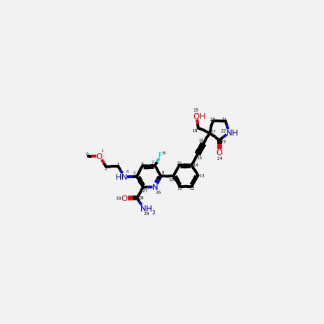 COCCNc1cc(F)c(-c2cccc(C#CC3(CO)CCNC3=O)c2)nc1C(N)=O